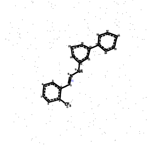 FC(F)(F)c1ccccc1/C=N/Nc1[c]c(-c2ccccc2)ccc1